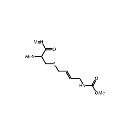 CNC(=O)C(CSC/C=C/CNC(=O)OC)NC